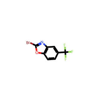 FC(F)(F)c1ccc2oc(Br)nc2c1